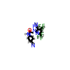 CN(C(=O)CNc1nc(C(F)(F)F)cc(C(F)(F)F)c1C#N)c1ccc(C#N)cc1